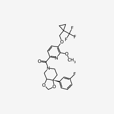 COc1nc(C(=O)N2CC[C@]3(c4cccc(F)c4)OCOC3C2)ccc1OCC1(C(F)(F)F)CC1